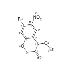 CCON1C(=O)COc2cc(F)c([N+](=O)[O-])cc21